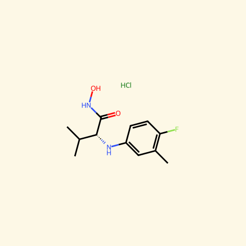 Cc1cc(N[C@@H](C(=O)NO)C(C)C)ccc1F.Cl